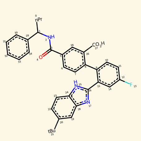 CCCC(NC(=O)c1ccc(-c2ccc(F)cc2-c2nc3cc(C(C)(C)C)ccc3[nH]2)c(C(=O)O)c1)c1ccccc1